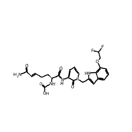 NC(=O)/C=C/CC[C@H](NC(=O)O)C(=O)Nc1cccn(Cc2cc3cccc(OCC(F)F)c3[nH]2)c1=O